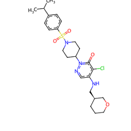 CC(C)c1ccc(S(=O)(=O)N2CCC(n3ncc(NC[C@@H]4CCCOC4)c(Cl)c3=O)CC2)cc1